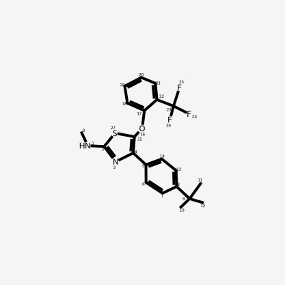 CNc1nc(-c2ccc(C(C)(C)C)cc2)c(Oc2ccccc2C(F)(F)F)s1